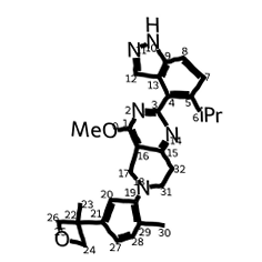 COc1nc(-c2c(C(C)C)ccc3[nH]ncc23)nc2c1CN(c1cc(C3(C)COC3)ccc1C)CC2